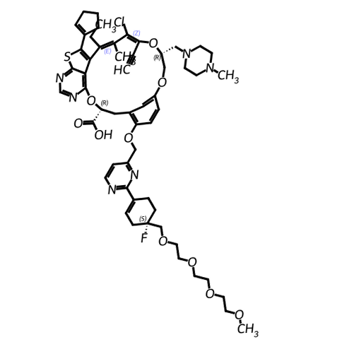 C#C/C1=C(Cl)\C(C)=C(/CC)c2c(C3=CCCC3)sc3ncnc(c23)O[C@@H](C(=O)O)Cc2cc(ccc2OCc2ccnc(C3=CC[C@](F)(COCCOCCOCCOC)CC3)n2)OC[C@@H](CN2CCN(C)CC2)O1